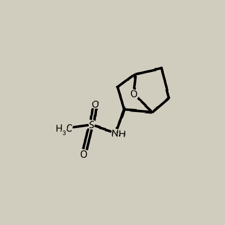 CS(=O)(=O)NC1CC2CCC1O2